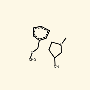 CN1CCC(O)C1.O=COCc1ccccc1